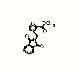 COC(=O)c1occc1CN1C(=O)c2ccccc2C1=O